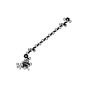 CC(=N)/C(C(=O)N[C@@H](CNC(=O)c1cccc(OCCCNC(=O)CCOCCOCCOCCOCCOCCOCCOCCOCCNC(=O)CCN2C(=O)C=CC2=O)c1)C(=O)O)=C(/C)N